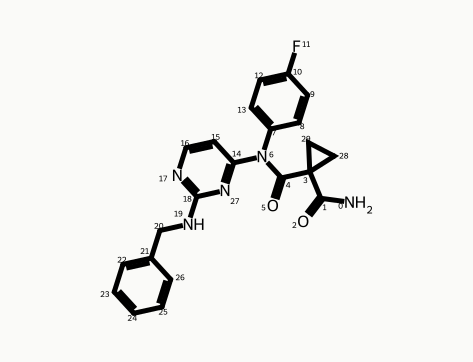 NC(=O)C1(C(=O)N(c2ccc(F)cc2)c2ccnc(NCc3ccccc3)n2)CC1